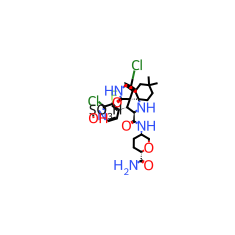 CC1(C)CCC2(CC1)N[C@@H](C(=O)N[C@@H]1CC[C@@H](C(N)=O)OC1)[C@H](c1ccnc(Cl)c1F)[C@]21C(=O)Nc2cc(Cl)ccc21.O=S(=O)(O)O